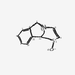 [O-][S+]1C=CN2Cc3ccccc3C21